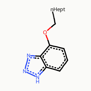 CCCCCCCCOc1cccc2[nH]nnc12